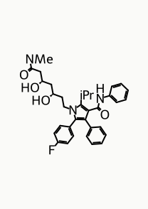 CNC(=O)C[C@H](O)C[C@H](O)CCn1c(-c2ccc(F)cc2)c(-c2ccccc2)c(C(=O)Nc2ccccc2)c1C(C)C